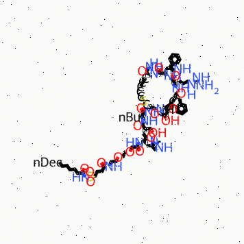 CCCCCCCCCCCCCCCC(=O)NS(=O)(=O)CCCC(=O)NCCOCCOCC(=O)N[C@@H](Cc1c[nH]cn1)C(=O)C[C@@H](CO)C(=O)N[C@@H](CCCC)C(=O)N[C@H]1CSCCCCC[C@@H](C(N)=O)NC(=O)[C@H](Cc2c[nH]c3ccccc23)NC(=O)[C@H](CCCNC(=N)N)NC(=O)[C@@H](Cc2ccccc2)CC(=O)[C@@H]2C[C@@H](O)CN2C1=O